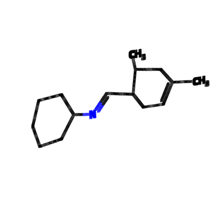 CC1=CCC(/C=N/C2CCCCC2)C(C)C1